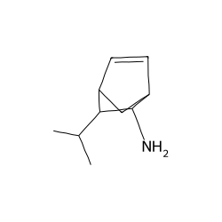 CC(C)C1C2C=CC(C2)C1N